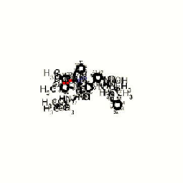 COc1ccc(CN(Cc2ccc(OC)cc2)S(=O)(=O)c2c(S(=O)(=O)NCCNC(=O)OC(C)(C)C)ccc(-c3cccc4[nH]c([C@H](COCc5ccccc5)N(C(=O)O)C(C)(C)C)nc34)c2C2=N\c3cccc(c3)CN(OC)\N=N\2)cc1